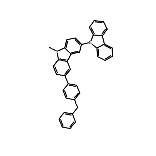 Cn1c2ccc(-c3ccc(Cc4ccccc4)cc3)cc2c2cc(-n3c4ccccc4c4ccccc43)ccc21